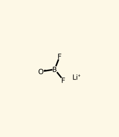 [Li+].[O-]B(F)F